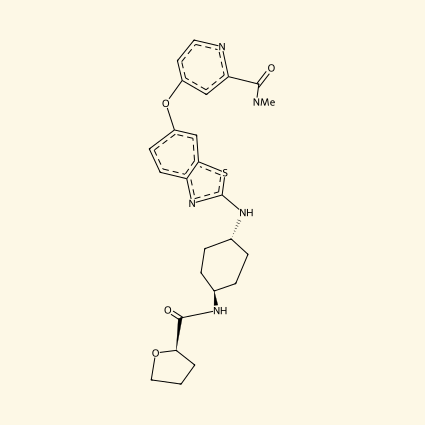 CNC(=O)c1cc(Oc2ccc3nc(N[C@H]4CC[C@H](NC(=O)[C@H]5CCCO5)CC4)sc3c2)ccn1